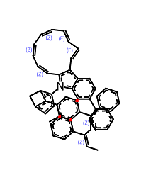 C/C=C(\N=C(\c1ccccc1)c1ccc(-c2c3ccc(-n4c5c(c6ccc(-c7ccccc7)cc64)/C=C/C=C/C=C\C=C/C=C\5)c2C3)c(C)c1)c1ccccc1